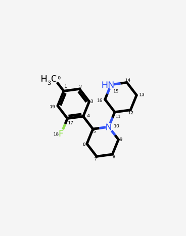 Cc1ccc(C2CCCCN2C2CCCNC2)c(F)c1